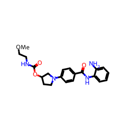 COCCNC(=O)OC1CCN(c2ccc(C(=O)Nc3ccccc3N)cc2)C1